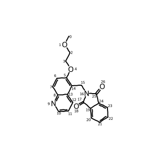 COCCOc1ccc2ncccc2c1CN1C(=O)c2ccccc2C1=O